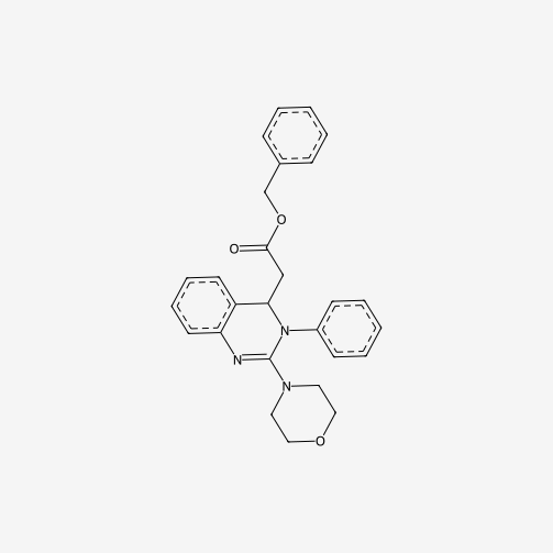 O=C(CC1c2ccccc2N=C(N2CCOCC2)N1c1ccccc1)OCc1ccccc1